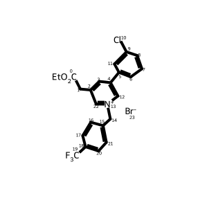 CCOC(=O)Cc1cc(-c2cccc(Cl)c2)c[n+](Cc2ccc(C(F)(F)F)cc2)c1.[Br-]